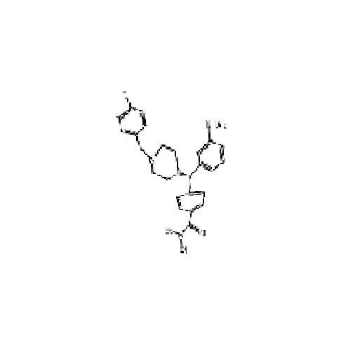 CCN(CC)C(=O)c1ccc([C@H](c2cccc(NC(C)=O)c2)N2CCN(Cc3ccc(F)cc3)CC2)cc1